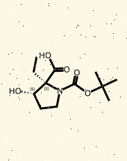 CC[C@@]1(C(=O)O)[C@@H](O)CCN1C(=O)OC(C)(C)C